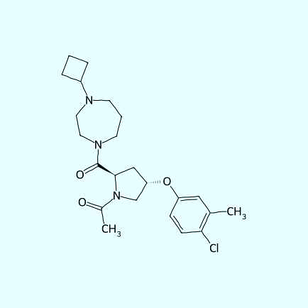 CC(=O)N1C[C@@H](Oc2ccc(Cl)c(C)c2)C[C@@H]1C(=O)N1CCCN(C2CCC2)CC1